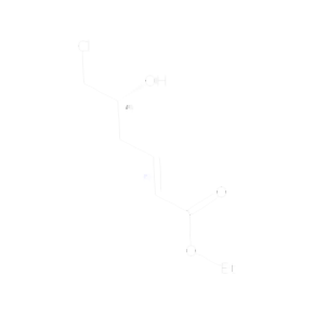 CCOC(=O)/C=C/C[C@@H](O)CCl